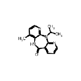 Cc1ccnc2c1NC(=O)c1cccnc1N2C(C)C